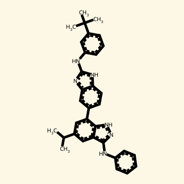 CC(C)c1cc(-c2ccc3[nH]c(Nc4cccc(C(C)(C)C)c4)nc3c2)c2[nH]nc(Nc3ccccc3)c2c1